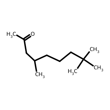 CC(=O)CC(C)CCCC(C)(C)C